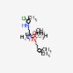 Cc1ccc(CCCCCO[C@@H](C(=O)N(C)CCCCCNc2ccc(C)c(Cl)c2)[C@@](O[SiH](C)C)(C(=O)O)C(C)(C)C)cc1C